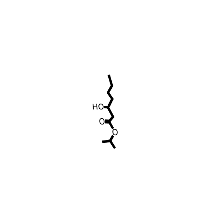 CCCCC(O)CC(=O)OC(C)C